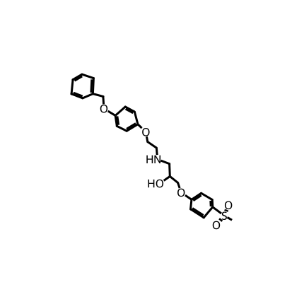 CS(=O)(=O)c1ccc(OCC(O)CNCCOc2ccc(OCc3ccccc3)cc2)cc1